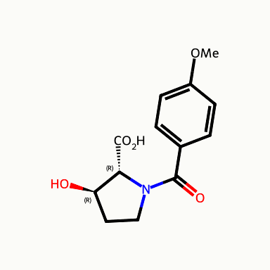 COc1ccc(C(=O)N2CC[C@@H](O)[C@@H]2C(=O)O)cc1